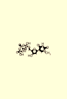 Cn1cc([C@H]2C[C@@H](O)[C@@H](COP(=O)(O)OP(=O)(O)OP(=O)(O)O)O2)c(=O)[nH]c1=O